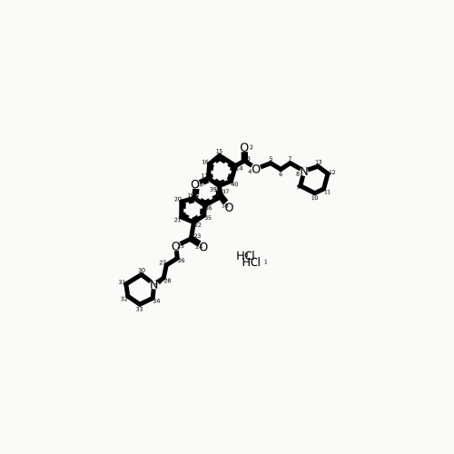 Cl.Cl.O=C(OCCCN1CCCCC1)c1ccc2oc3ccc(C(=O)OCCCN4CCCCC4)cc3c(=O)c2c1